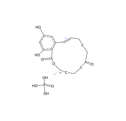 C[C@H]1CCCC(=O)CCC/C=C/c2cc(O)cc(O)c2C(=O)O1.O=P(O)(O)O